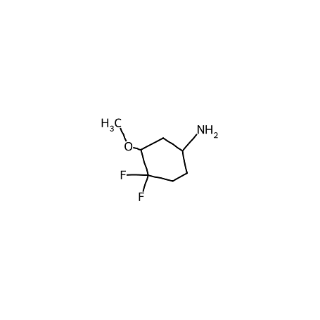 COC1CC(N)CCC1(F)F